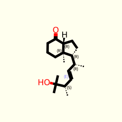 C[C@H](/C=C/[C@H](C)C(C)(C)O)[C@H]1CC[C@H]2C(=O)CCC[C@]12C